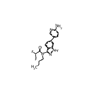 CCCCN(C(=O)C(F)F)c1n[nH]c2cc(-c3ccc(N)nc3)ccc12